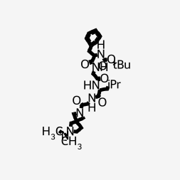 CC(C)CC(NC(=O)CNC(=O)C(Cc1ccccc1)NC(=O)OC(C)(C)C)C(=O)NCC(=O)N1CC2(CCN(N(C)C)C2)C1